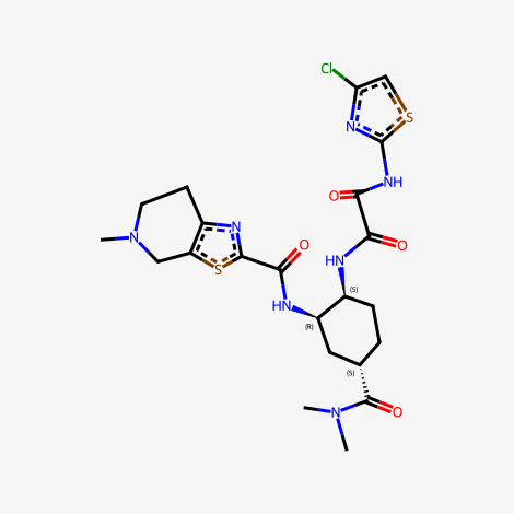 CN1CCc2nc(C(=O)N[C@@H]3C[C@@H](C(=O)N(C)C)CC[C@@H]3NC(=O)C(=O)Nc3nc(Cl)cs3)sc2C1